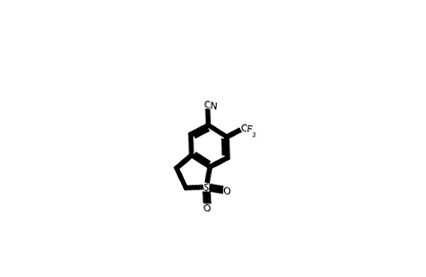 N#Cc1cc2c(cc1C(F)(F)F)S(=O)(=O)CC2